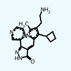 Cc1[nH]c(/C=C2/C(=O)NN=C2c2cnccn2)c(C2CCC2)c1CCN